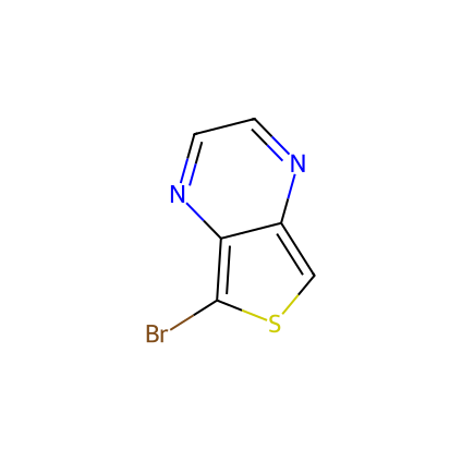 Brc1scc2nccnc12